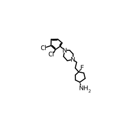 N[C@H]1CC[C@](F)(CCN2CCN(c3cccc(Cl)c3Cl)CC2)CC1